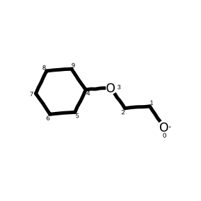 [O]CCOC1CCCCC1